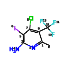 Cc1nc(N)c(I)c(Cl)c1C(F)(F)F